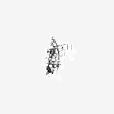 CCOc1c(C)cc([C@@](O)(CNC(=O)c2cc(OC(F)(F)F)c3nc(C)sc3c2)C(F)(F)F)nc1-c1ccc(F)cc1